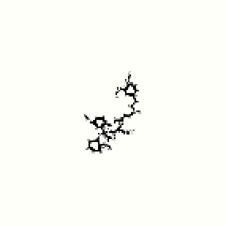 COc1ccc(OCCCCN(C)CCc2ccc(OC)c(OC)c2)c(C2(NCC(C)=O)Sc3ccccc3N(C)C2=O)c1.Cl